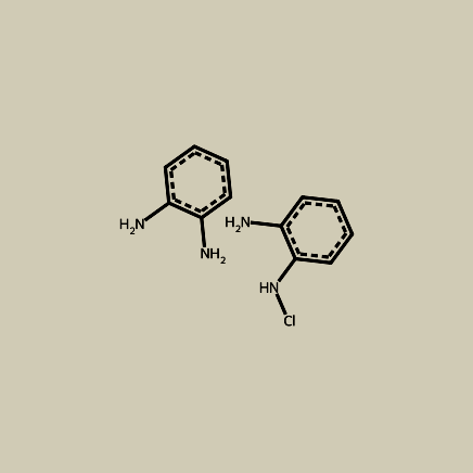 Nc1ccccc1N.Nc1ccccc1NCl